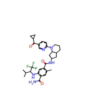 Cc1cc(C(N)=O)c(NC(C(C)C)C(F)(F)F)cc1C(=O)NC1CC2CCCN(c3ccc(C(=O)C4CC4)cn3)C2C1